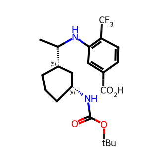 CC(Nc1cc(C(=O)O)ccc1C(F)(F)F)[C@H]1CCC[C@@H](NC(=O)OC(C)(C)C)C1